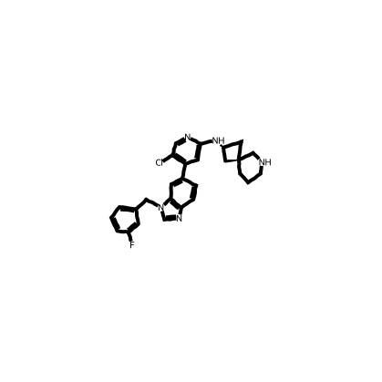 Fc1cccc(Cn2cnc3ccc(-c4cc(N[C@H]5C[C@@]6(CCCNC6)C5)ncc4Cl)cc32)c1